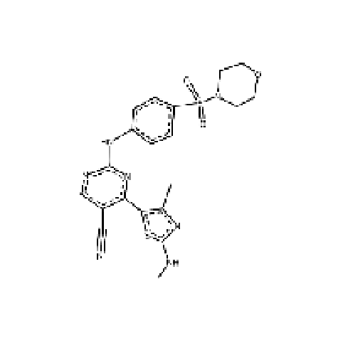 CNc1nc(C)c(-c2nc(Nc3ccc(S(=O)(=O)N4CCOCC4)cc3)ncc2C#N)s1